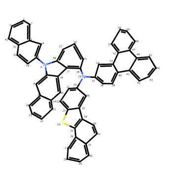 c1ccc2cc(-n3c4cc5ccccc5cc4c4c(N(c5ccc6sc7c8ccccc8ccc7c6c5)c5ccc6c7ccccc7c7ccccc7c6c5)cccc43)ccc2c1